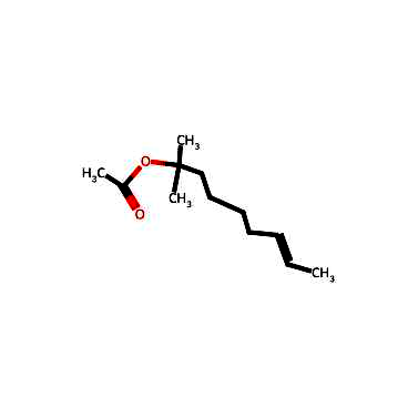 CC=CCCCCC(C)(C)OC(C)=O